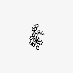 CCCCOC(=O)N(Cc1ccc(-c2ccccc2-c2nnnn2C(c2ccccc2)(c2ccccc2)c2ccccc2)cc1)c1cc2cccc(C)c2nc1C